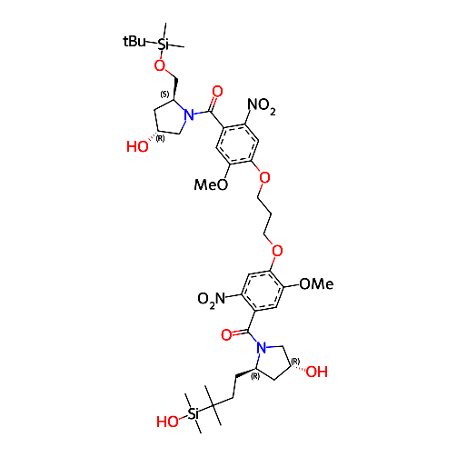 COc1cc(C(=O)N2C[C@H](O)C[C@H]2CCC(C)(C)[Si](C)(C)O)c([N+](=O)[O-])cc1OCCCOc1cc([N+](=O)[O-])c(C(=O)N2C[C@H](O)C[C@H]2CO[Si](C)(C)C(C)(C)C)cc1OC